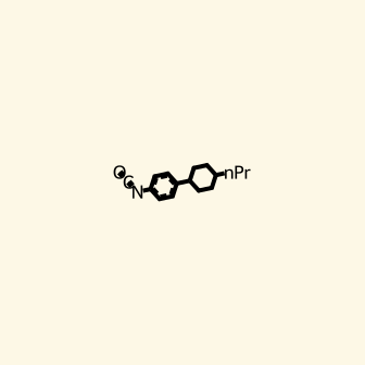 CCCC1CCC(c2ccc(N=C=O)cc2)CC1